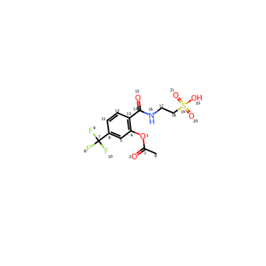 CC(=O)Oc1cc(C(F)(F)F)ccc1C(=O)NCCS(=O)(=O)O